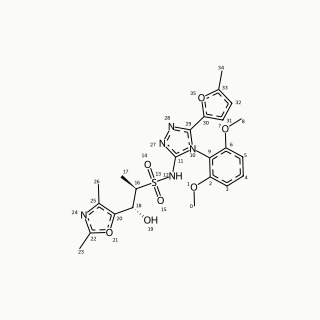 COc1cccc(OC)c1-n1c(NS(=O)(=O)[C@H](C)[C@H](O)c2oc(C)nc2C)nnc1-c1ccc(C)o1